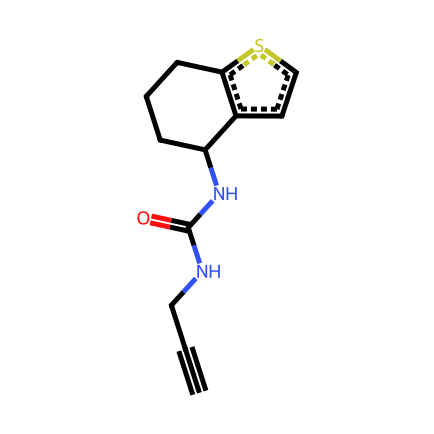 C#CCNC(=O)NC1CCCc2sccc21